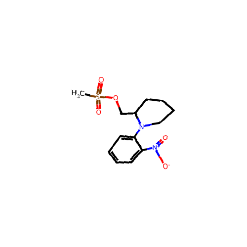 CS(=O)(=O)OCC1CCCCN1c1ccccc1[N+](=O)[O-]